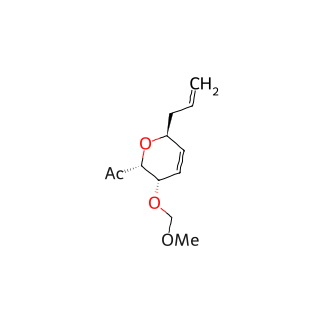 C=CC[C@H]1C=C[C@H](OCOC)[C@H](C(C)=O)O1